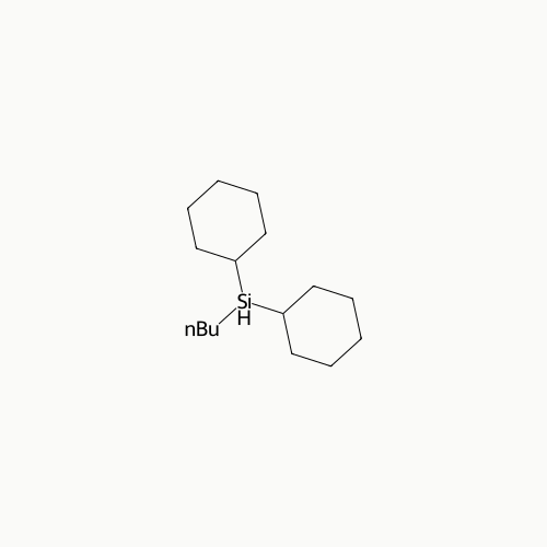 CCCC[SiH](C1CCCCC1)C1CCCCC1